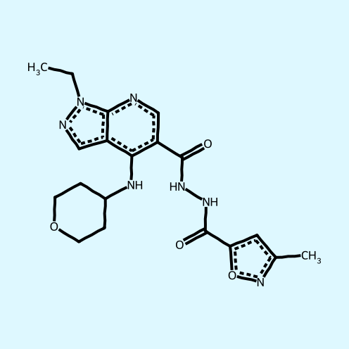 CCn1ncc2c(NC3CCOCC3)c(C(=O)NNC(=O)c3cc(C)no3)cnc21